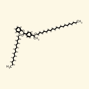 CCCCCCCCCCCCCCCCCCCCOC(C)c1ccc(C(=O)Oc2ccccc2OCCCCCCCCCCCCCCC)cc1